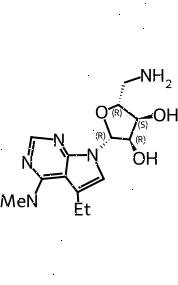 CCc1cn([C@@H]2O[C@H](CN)[C@@H](O)[C@H]2O)c2ncnc(NC)c12